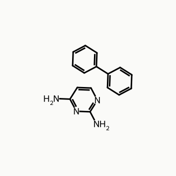 Nc1ccnc(N)n1.c1ccc(-c2ccccc2)cc1